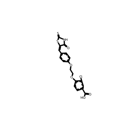 O=C1NC(=S)SC1=Cc1ccc(OCCOc2ccc(C(=O)O)cc2Cl)cc1